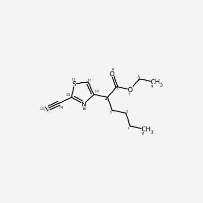 CCCCC(C(=O)OCC)c1csc(C#N)n1